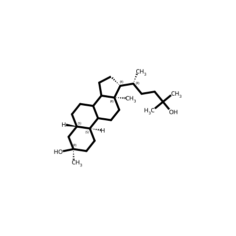 C[C@H](CCC(C)(C)O)[C@H]1CCC2C3CC[C@H]4C[C@](C)(O)CC[C@@H]4C3CC[C@@]21C